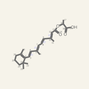 CC1=C(/C=C/C(C)=C/C=C/C(C)=C/C(=O)OC(C)C(=O)O)C(C)(C)CCC1